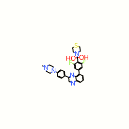 CN1CCN(c2ccc(-c3cnc4cccc(-c5cc(F)c(C(O)(O)N6CCSCC6)c(F)c5)c4n3)cc2)CC1